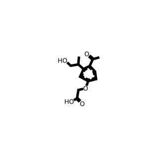 CC(=O)c1ccc(OCC(=O)O)cc1C(C)CO